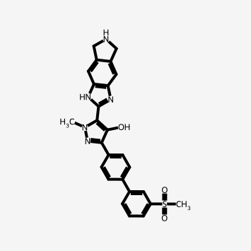 Cn1nc(-c2ccc(-c3cccc(S(C)(=O)=O)c3)cc2)c(O)c1-c1nc2cc3c(cc2[nH]1)CNC3